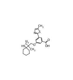 Cc1cnc(-c2cc(OCC(C)(C)C3(S)CCCCC3)cc(C(=O)O)c2)s1